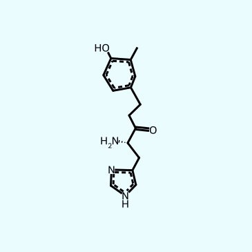 Cc1cc(CCC(=O)[C@@H](N)Cc2c[nH]cn2)ccc1O